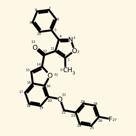 Cc1onc(-c2ccccc2)c1C(=O)c1cc2cccc(OCc3ccc(F)cc3)c2o1